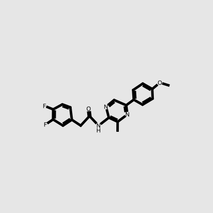 COc1ccc(-c2cnc(NC(=O)Cc3ccc(F)c(F)c3)c(C)n2)cc1